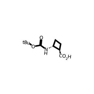 CC(C)(C)OC(=O)N[C@@H]1CC[C@H]1C(=O)O